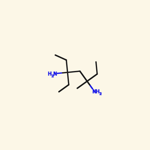 CCC(C)(N)CC(N)(CC)CC